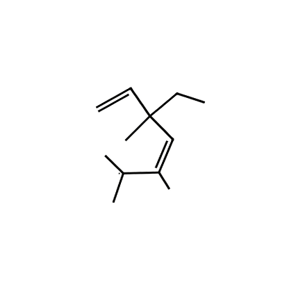 C=CC(C)(C=C(C)[C](C)C)CC